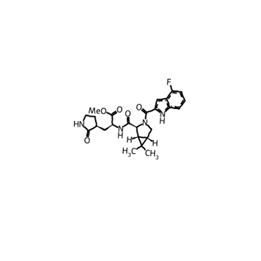 COC(=O)[C@H](C[C@@H]1CCNC1=O)NC(=O)[C@@H]1[C@@H]2[C@H](CN1C(=O)c1cc3c(F)cccc3[nH]1)C2(C)C